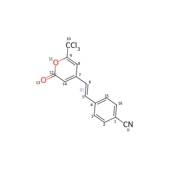 N#Cc1ccc(/C=C/c2cc(C(Cl)(Cl)Cl)oc(=O)c2)cc1